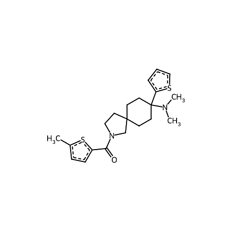 Cc1ccc(C(=O)N2CCC3(CCC(c4cccs4)(N(C)C)CC3)C2)s1